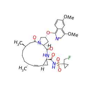 COc1ccc2c(O[C@@H]3C[C@H]4C(=O)N[C@]5(C(=O)NS(=O)(=O)C6(CF)CC6)C[C@H]5/C=C\[C@H](C)CCC[C@@H](C)CC(=O)N4C3)ncc(OC)c2c1